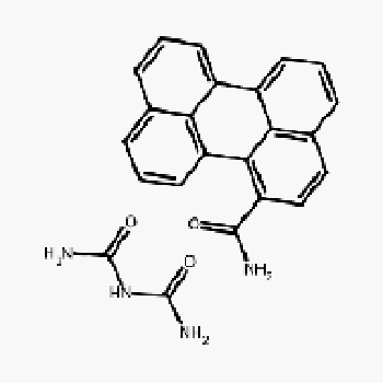 NC(=O)NC(N)=O.NC(=O)c1ccc2cccc3c4cccc5cccc(c1c23)c54